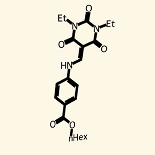 CCCCCCOC(=O)c1ccc(NC=C2C(=O)N(CC)C(=O)N(CC)C2=O)cc1